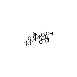 CC(C)C[C@@H](CNCC(=O)OC(C)(C)C)NC(=O)[C@@H]1CCCN1C(=O)O